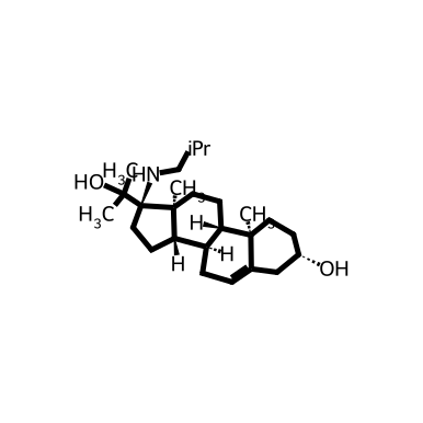 CC(C)CN[C@]1(C(C)(C)O)CC[C@H]2[C@@H]3CC=C4C[C@@H](O)CC[C@]4(C)[C@H]3CC[C@@]21C